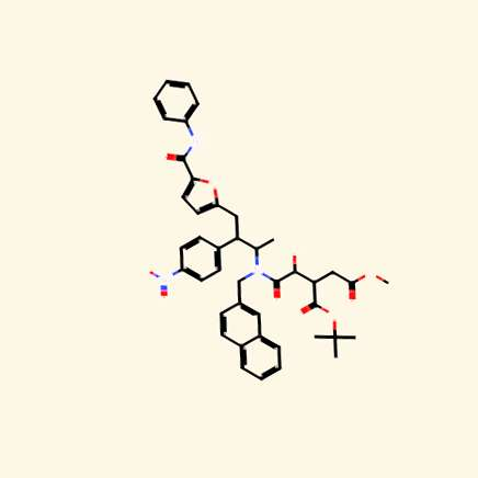 COC(=O)CC(C(=O)OC(C)(C)C)C(O)C(=O)N(Cc1ccc2ccccc2c1)C(C)C(Cc1ccc(C(=O)Nc2ccccc2)o1)c1ccc([N+](=O)[O-])cc1